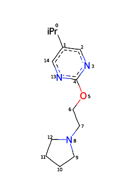 CC(C)c1cnc(OCCN2CCCC2)nc1